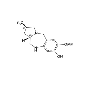 COc1cc2c(cc1O)NC[C@@H]1C[C@@H](C(F)(F)F)CN1C2